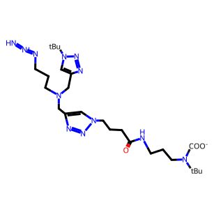 CC(C)(C)N(CCCNC(=O)CCCn1cc(CN(CCCN=[N+]=N)Cc2cn(C(C)(C)C)nn2)nn1)C(=O)[O-]